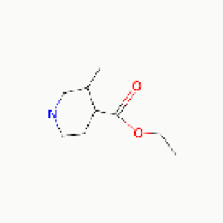 CCOC(=O)C1CC[N]CC1C